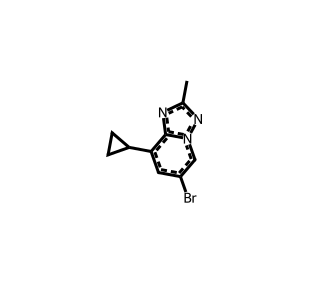 Cc1nc2c(C3CC3)cc(Br)cn2n1